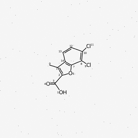 Cc1c(C(=O)O)oc2c(Cl)c(Cl)ccc12